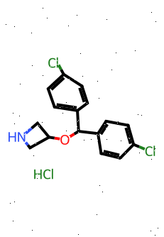 Cl.Clc1ccc(C(OC2CNC2)c2ccc(Cl)cc2)cc1